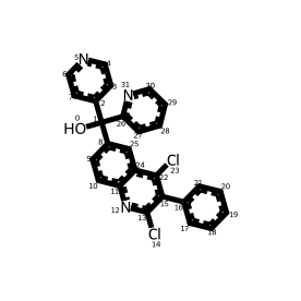 OC(c1ccncc1)(c1ccc2nc(Cl)c(-c3ccccc3)c(Cl)c2c1)c1ccccn1